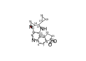 N#Cc1cnc2ccc3c(c2c1NC(C1CC1)C1CC1)CCS3(=O)=O